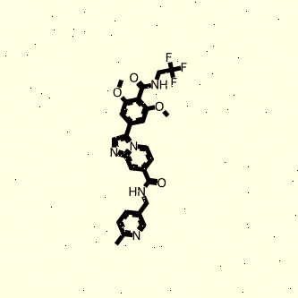 COc1cc(-c2cnc3cc(C(=O)NCc4ccc(C)nc4)ccn23)cc(OC)c1C(=O)NCC(F)(F)F